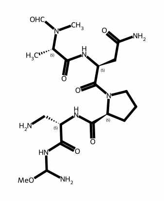 COC(N)NC(=O)[C@H](CN)NC(=O)[C@@H]1CCCN1C(=O)[C@H](CC(N)=O)NC(=O)[C@H](C)N(C)C=O